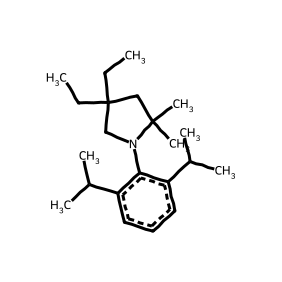 CCC1(CC)CN(c2c(C(C)C)cccc2C(C)C)C(C)(C)C1